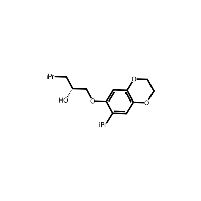 CC(C)C[C@@H](O)COc1cc2c(cc1C(C)C)OCCO2